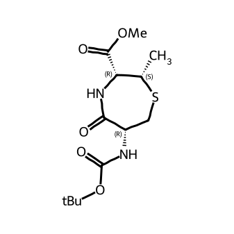 COC(=O)[C@H]1NC(=O)[C@@H](NC(=O)OC(C)(C)C)CS[C@H]1C